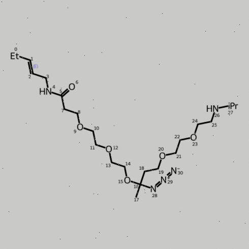 CC/C=C/CNC(=O)CCOCCOCCOC(C)(CCOCCOCCNC(C)C)N=[N+]=[N-]